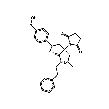 CC(C)C[C@@](CC(C)c1ccc(NO)cc1)(C(=O)NCCc1ccccc1)N1C(=O)CCC1=O